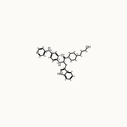 O=C(C(Cc1c[nH]c2ccccc12)Nc1ccc(Nc2ccncc2)cc1)N1CCC(CCCO)CC1